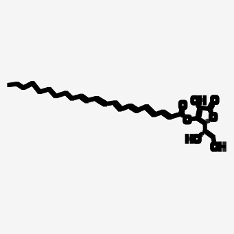 CCCCCCCCCC=CC=CC=CC=CC=CC=CC(=O)OC1=C(O)C(=O)O[C@@H]1[C@@H](O)CO